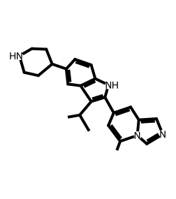 Cc1cc(-c2[nH]c3ccc(C4CCNCC4)cc3c2C(C)C)cc2cncn12